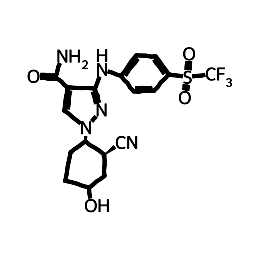 N#C[C@H]1CC(O)CC[C@@H]1n1cc(C(N)=O)c(Nc2ccc(S(=O)(=O)C(F)(F)F)cc2)n1